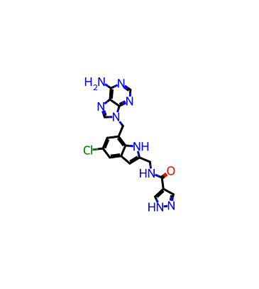 Nc1ncnc2c1ncn2Cc1cc(Cl)cc2cc(CNC(=O)c3cn[nH]c3)[nH]c12